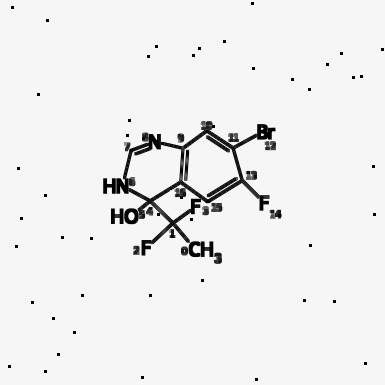 CC(F)(F)C1(O)NC=Nc2cc(Br)c(F)cc21